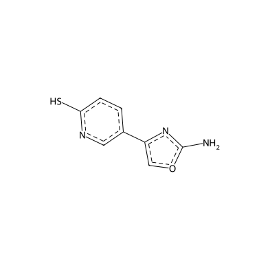 Nc1nc(-c2ccc(S)nc2)co1